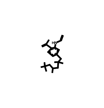 C=CNc1cc(CC(C)(C)CC(C)CC(C)(C)C)ccc1C(=C)C